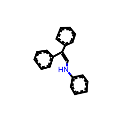 C(Nc1ccccc1)=C(c1ccccc1)c1ccccc1